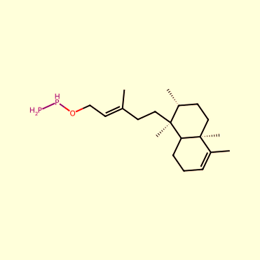 CC1=CCCC2[C@@]1(C)CC[C@@H](C)[C@]2(C)CC/C(C)=C/COPP